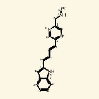 CC(C)NCc1cnc(/C=C/C=C/c2cc3ccccc3[nH]2)cn1